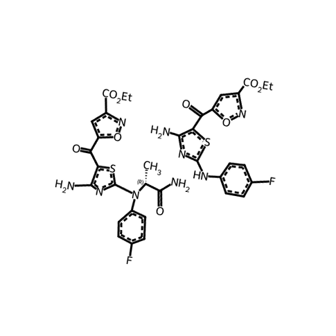 CCOC(=O)c1cc(C(=O)c2sc(N(c3ccc(F)cc3)[C@H](C)C(N)=O)nc2N)on1.CCOC(=O)c1cc(C(=O)c2sc(Nc3ccc(F)cc3)nc2N)on1